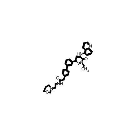 CCn1nc(-c2cccc(-c3ccc(CC(=O)NCCN4CCCCC4)cc3)c2)cc(Nc2cccc3ncccc23)c1=O